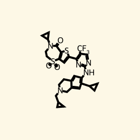 O=C1c2sc(-c3nc(Nc4cc5c(cc4C4CC4)CN(CC4CC4)CC5)ncc3C(F)(F)F)cc2S(=O)(=O)CCN1C1CC1